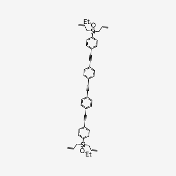 C=CC[Si](CC=C)(OCC)c1ccc(C#Cc2ccc(C#Cc3ccc(C#Cc4ccc([Si](CC=C)(CC=C)OCC)cc4)cc3)cc2)cc1